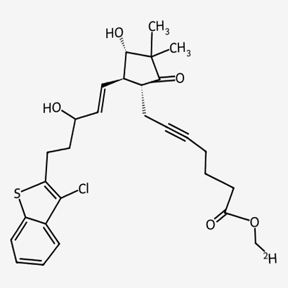 [2H]COC(=O)CCCC#CC[C@H]1C(=O)C(C)(C)[C@@H](O)[C@@H]1/C=C/C(O)CCc1sc2ccccc2c1Cl